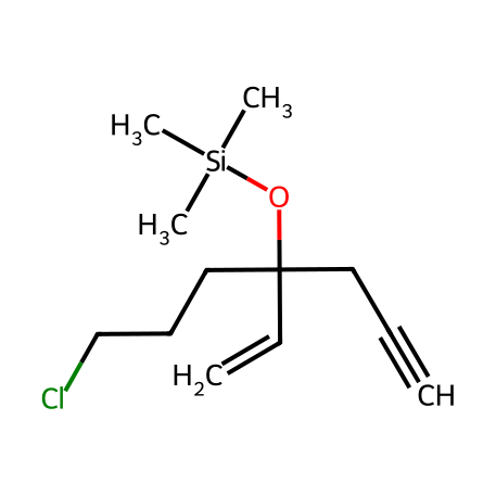 C#CCC(C=C)(CCCCl)O[Si](C)(C)C